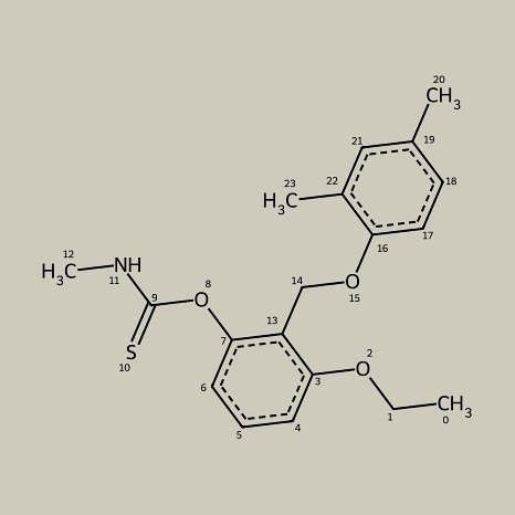 CCOc1cccc(OC(=S)NC)c1COc1ccc(C)cc1C